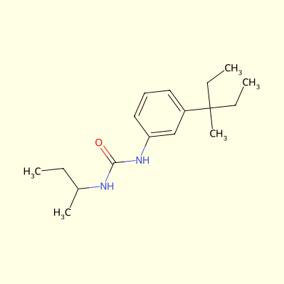 CCC(C)NC(=O)Nc1cccc(C(C)(CC)CC)c1